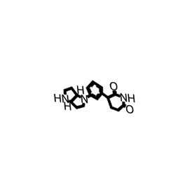 O=C1CCC(c2cccc(N3CC[C@H]4NCC[C@H]43)c2)C(=O)N1